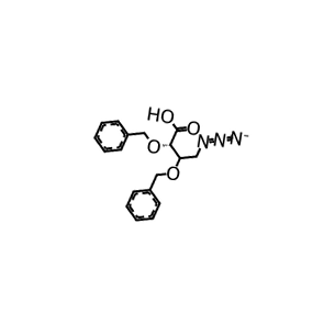 [N-]=[N+]=NCC(OCc1ccccc1)[C@H](OCc1ccccc1)C(=O)O